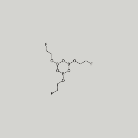 FCCOB1OB(OCCF)OB(OCCF)O1